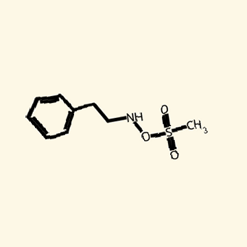 CS(=O)(=O)ONCCc1ccccc1